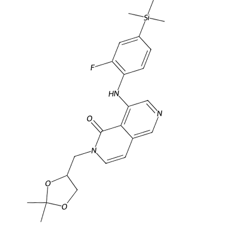 CC1(C)OCC(Cn2ccc3cncc(Nc4ccc([Si](C)(C)C)cc4F)c3c2=O)O1